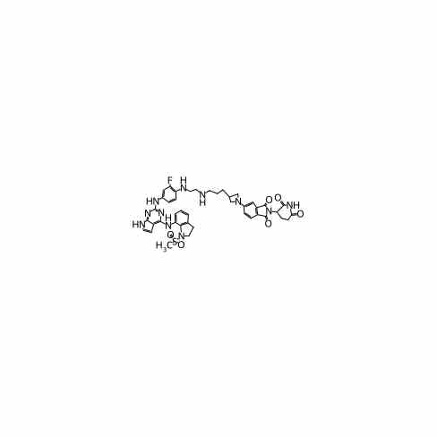 CS(=O)(=O)N1CCc2cccc(Nc3nc(Nc4ccc(NCCNCCCC5CN(c6ccc7c(c6)C(=O)N(C6CCC(=O)NC6=O)C7=O)C5)c(F)c4)nc4[nH]ccc34)c21